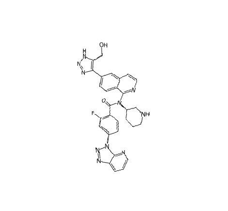 O=C(c1ccc(-n2nnc3cccnc32)cc1F)N(c1nccc2cc(-c3nn[nH]c3CO)ccc12)[C@@H]1CCCNC1